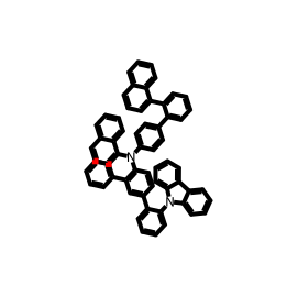 c1ccc(-c2cc(-c3ccccc3-n3c4ccccc4c4ccccc43)ccc2N(c2ccc(-c3ccccc3-c3cccc4ccccc34)cc2)c2cccc3ccccc23)cc1